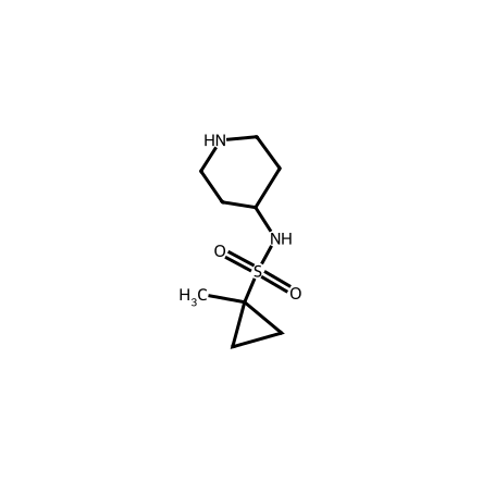 CC1(S(=O)(=O)NC2CCNCC2)CC1